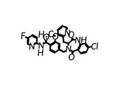 COc1cc(CN2C(=O)c3ccc(Cl)cc3NC(=O)C2Cc2ccccn2)ccc1C(=O)Nc1ccc(F)cn1